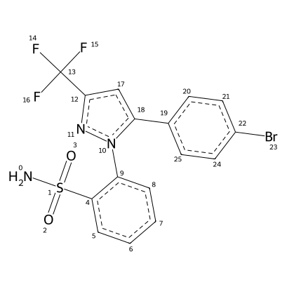 NS(=O)(=O)c1ccccc1-n1nc(C(F)(F)F)cc1-c1ccc(Br)cc1